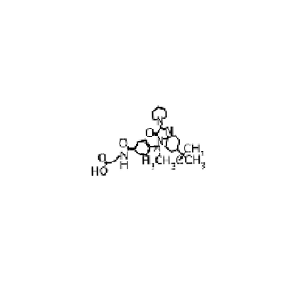 CC[C@H](c1ccc(C(=O)NCCC(=O)O)cc1)N1C(=O)C(N2CCCCC2)=NC12CCC(C(C)(C)C)CC2